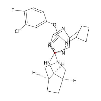 Cc1cc(N2C[C@H]3CC[C@@H](C2)[C@H]3Nc2nc(Oc3ccc(F)c(Cl)c3)n(C3CCC3)n2)ncn1